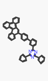 c1ccc(-c2nc(-c3ccccc3)nc(-c3cccc(-c4ccc(-c5cc6c7ccccc7c7ccccc7c6c6ccccc56)cc4)c3)n2)cc1